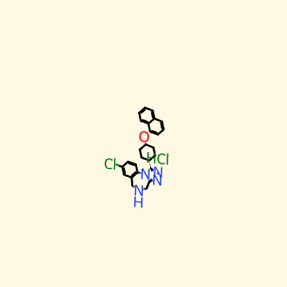 Cl.Clc1ccc2c(c1)CNCc1nnc([C@H]3CC[C@H](Oc4cccc5ccccc45)CC3)n1-2